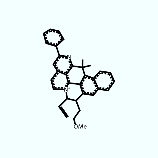 C=CC1C(CCOC)c2cc3ccccc3c3c2-c2c4c(nc(-c5ccccc5)cc4cc[n+]21)C3(C)C